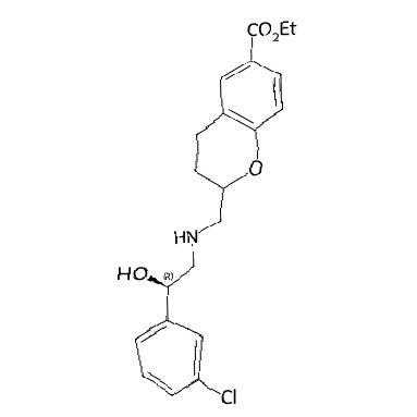 CCOC(=O)c1ccc2c(c1)CCC(CNC[C@H](O)c1cccc(Cl)c1)O2